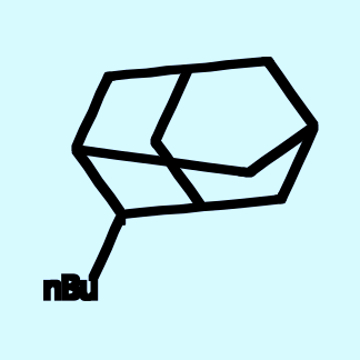 CCCC[C]1C2CC3CC(C2)CC1C3